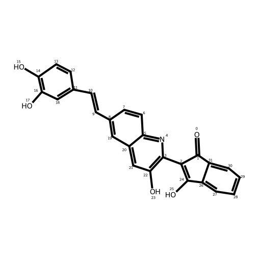 O=C1C(c2nc3ccc(/C=C/c4ccc(O)c(O)c4)cc3cc2O)=C(O)c2ccccc21